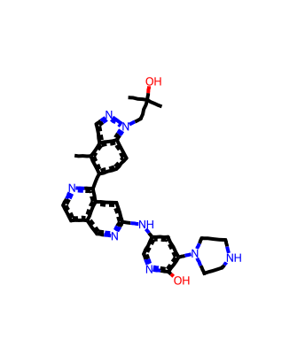 Cc1c(-c2nccc3cnc(Nc4cnc(O)c(N5CCNCC5)c4)cc23)ccc2c1cnn2CC(C)(C)O